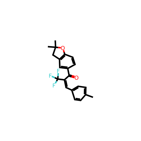 Cc1ccc(/C=C(\C(=O)c2ccc3c(c2)CC(C)(C)O3)C(F)(F)F)cc1